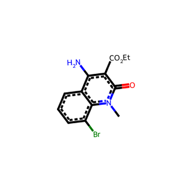 CCOC(=O)c1c(N)c2cccc(Br)c2n(C)c1=O